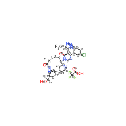 C[C@@H]1CCC[C@H](n2cnc(-c3cc(Cl)ccc3-n3cc(C(F)(F)F)nn3)cc2=O)c2cc(ccn2)-c2ccc(C(C)(C)O)cc2NC1=O.O=C(O)C(F)(F)F